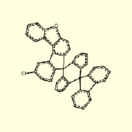 Clc1ccc2c(c1)-c1c(ccc3oc4ccccc4c13)C21c2ccccc2C2(c3ccccc3-c3ccccc32)c2ccccc21